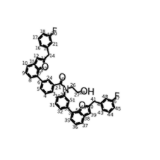 O=C(c1cccc(-c2cccc3cc(Cc4cccc(F)c4)oc23)c1)N(CCO)c1cccc(-c2cccc3cc(Cc4cccc(F)c4)oc23)c1